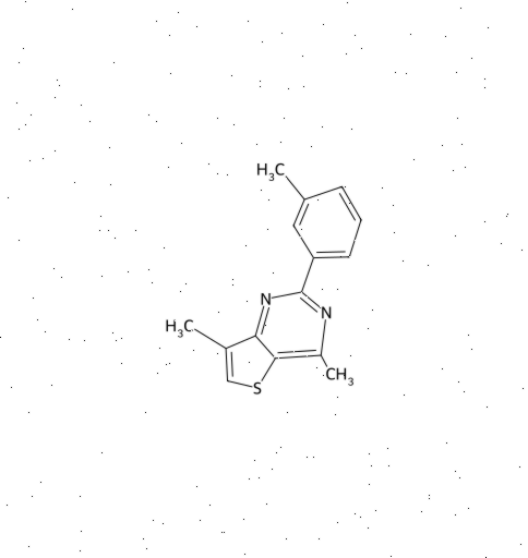 Cc1cccc(-c2nc(C)c3scc(C)c3n2)c1